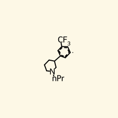 CCCN1CCCC(c2c[c]cc(C(F)(F)F)c2)C1